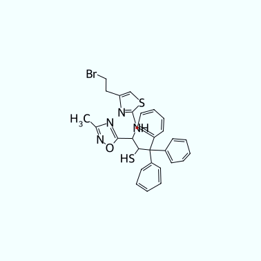 Cc1noc(C(Nc2nc(CCBr)cs2)C(S)C(c2ccccc2)(c2ccccc2)c2ccccc2)n1